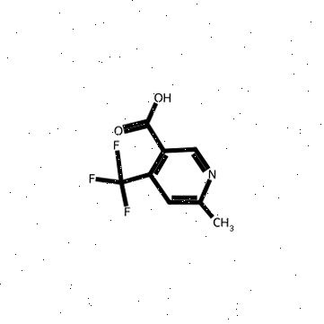 Cc1cc(C(F)(F)F)c(C(=O)O)cn1